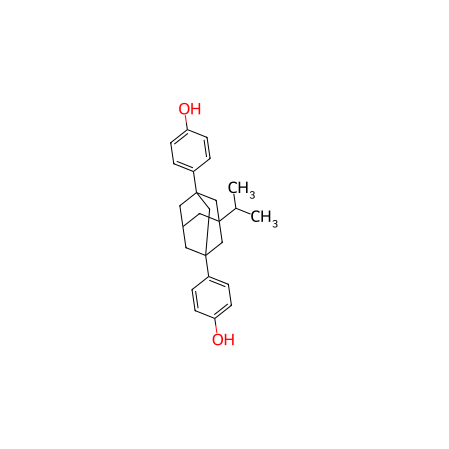 CC(C)C12CC3CC(c4ccc(O)cc4)(CC(c4ccc(O)cc4)(C3)C1)C2